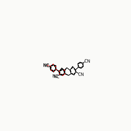 N#Cc1ccc(-c2cc3c(cc2C#N)C2c4cc(C#N)c(-c5ccc(C#N)cc5)cc4C3c3cc(-c4ccc(C#N)cc4)c(C#N)cc32)cc1